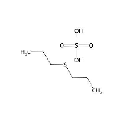 CCCSCCC.O=S(=O)(O)O